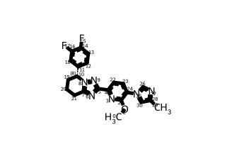 COc1nc(-c2nc3n(n2)[C@@H](c2ccc(F)c(F)c2)CCC3)ccc1-n1cnc(C)c1